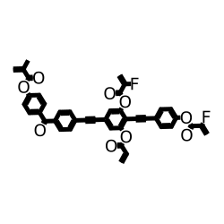 C=CC(=O)Oc1cc(C#Cc2ccc(C(=O)c3ccc(OC(=O)C(=C)C)cc3)cc2)cc(OC(=O)C(=C)F)c1C#Cc1ccc(OC(=O)C(=C)F)cc1